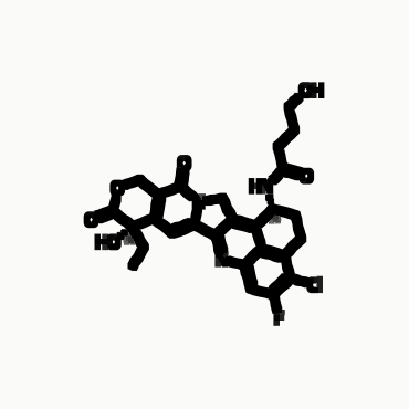 CC[C@@]1(O)C(=O)OCc2c1cc1n(c2=O)Cc2c-1nc1cc(F)c(Cl)c3c1c2[C@H](NC(=O)CCCO)CC3